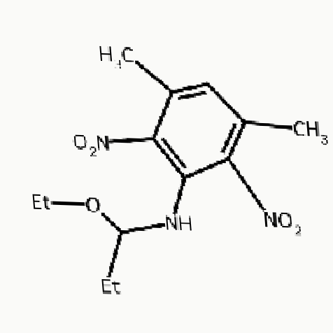 CCOC(CC)Nc1c([N+](=O)[O-])c(C)cc(C)c1[N+](=O)[O-]